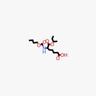 CCCCOC(=O)NC(CCCCC(=O)O)C(=O)OC(C)CC